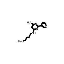 CCCCCCCCCCCCCCNc1cc(C)nc(-c2ccsc2)n1